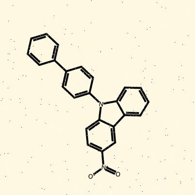 O=[N+]([O-])c1ccc2c(c1)c1ccccc1n2-c1ccc(-c2ccccc2)cc1